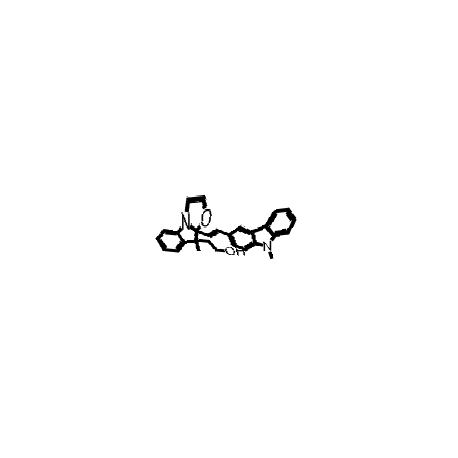 Cn1c2ccccc2c2cc(/C=C/C34OCCN3c3ccccc3C4(C)CCO)ccc21